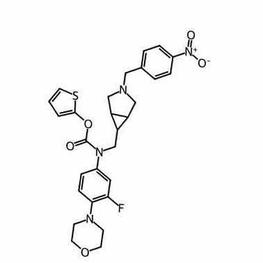 O=C(Oc1cccs1)N(CC1C2CN(Cc3ccc([N+](=O)[O-])cc3)CC21)c1ccc(N2CCOCC2)c(F)c1